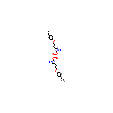 CCc1ccc(OCCCc2c[nH]c(OC(=O)C(=O)Oc3nc(CCCOc4ccc(CC)cc4)c[nH]3)n2)cc1